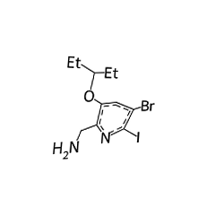 CCC(CC)Oc1cc(Br)c(I)nc1CN